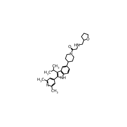 Cc1cc(-c2[nH]c3ccc(C4CCN(C(=O)CNCC5CCCO5)CC4)cc3c2C(C)C)cc(C)n1